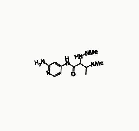 CNNC(C(=O)Nc1ccnc(N)c1)C(C)NC